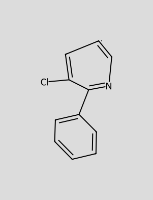 Clc1c[c]cnc1-c1ccccc1